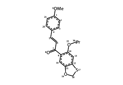 COc1ccc(/C=C/C(=O)c2cc3c(cc2OC(C)C)SCO3)cc1